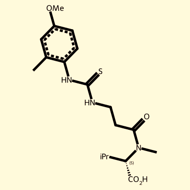 COc1ccc(NC(=S)NCCC(=O)N(C)[C@H](C(=O)O)C(C)C)c(C)c1